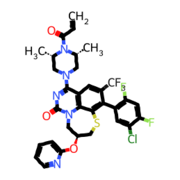 C=CC(=O)N1[C@H](C)CN(c2nc(=O)n3c4c(c(-c5cc(Cl)c(F)cc5F)c(C(F)(F)F)cc24)SC[C@@H](Oc2ccccn2)C3)C[C@@H]1C